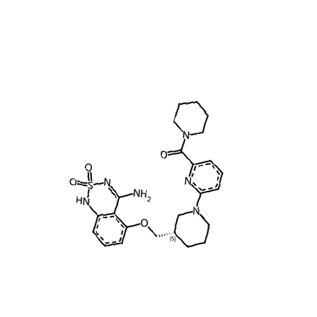 NC1=NS(=O)(=O)Nc2cccc(OC[C@H]3CCCN(c4cccc(C(=O)N5CCCCC5)n4)C3)c21